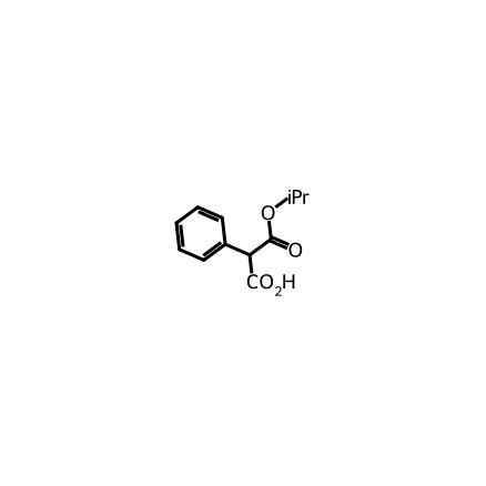 CC(C)OC(=O)C(C(=O)O)c1ccccc1